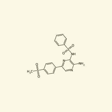 CS(=O)(=O)c1ccc(-c2cnc(N)c(NS(=O)(=O)c3ccccc3)n2)cc1